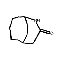 O=C1CC2CCCC(CC2)N1